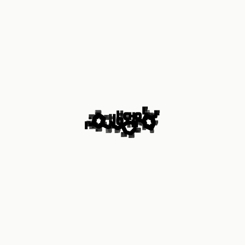 O=CC1N(Cc2cccc(F)c2F)CCCC1(O)CNCc1cccc(F)c1